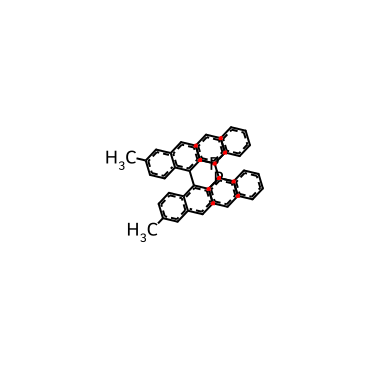 Cc1ccc2c(-c3c(P(c4ccccc4)c4ccccc4)ccc4cc(C)ccc34)c(P(c3ccccc3)c3ccccc3)ccc2c1